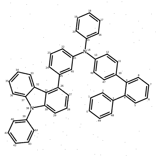 c1ccc(-c2ccccc2-c2ccc(N(c3ccccc3)c3cccc(-c4cccc5c4c4ccccc4n5-c4ccccc4)c3)cc2)cc1